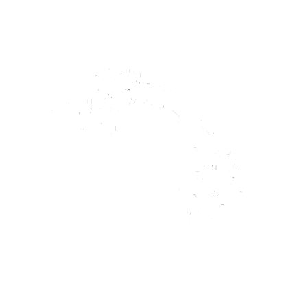 COC(=O)N[C@H](C(=O)N1C[C@@H]2C[C@@H]2[C@H]1c1nc2cc(C#Cc3ccc(-c4c[nH]c([C@@H]5CCCN5C(=O)[C@@H](C)C(C)C)n4)cc3)ccc2[nH]1)C(C)C